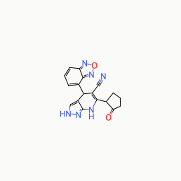 N#CC1=C(C2CCCC2=O)Nc2n[nH]cc2C1c1cccc2nonc12